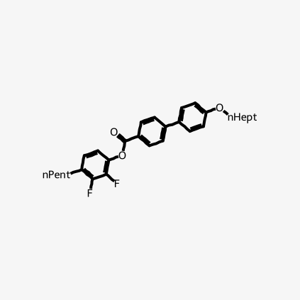 CCCCCCCOc1ccc(-c2ccc(C(=O)Oc3ccc(CCCCC)c(F)c3F)cc2)cc1